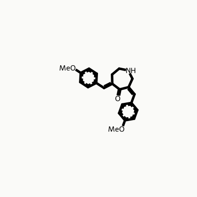 COc1ccc(C=C2CCNCC(=Cc3ccc(OC)cc3)C2=O)cc1